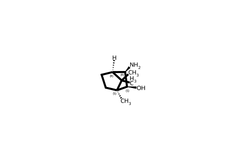 CC1(C)[C@H]2CC[C@]1(C)[C@H](O)[C@@H]2N